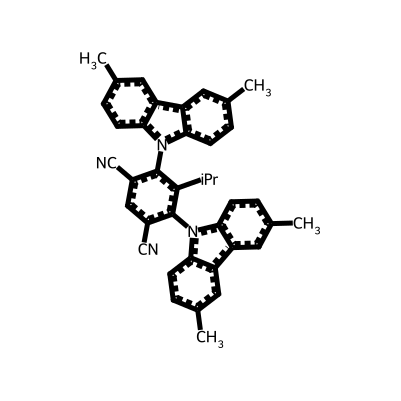 Cc1ccc2c(c1)c1cc(C)ccc1n2-c1c(C#N)cc(C#N)c(-n2c3ccc(C)cc3c3cc(C)ccc32)c1C(C)C